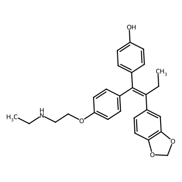 CCNCCOc1ccc(/C(=C(/CC)c2ccc3c(c2)OCO3)c2ccc(O)cc2)cc1